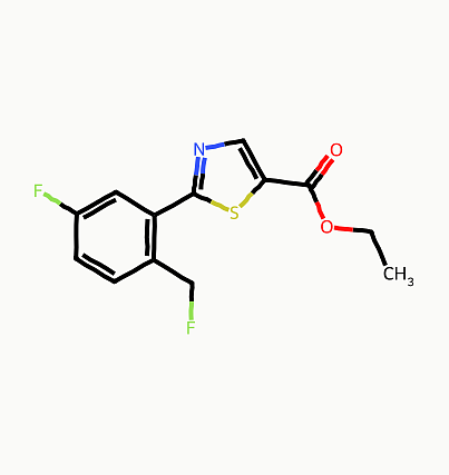 CCOC(=O)c1cnc(-c2cc(F)ccc2CF)s1